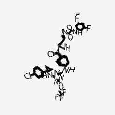 CN(CCCNC(=O)c1ccc(Nc2nc(NC3(c4ccc(Cl)cc4)CC3)nc(OCC(F)(F)F)n2)cc1)C(=O)C(=O)Nc1cc(F)cc(F)c1